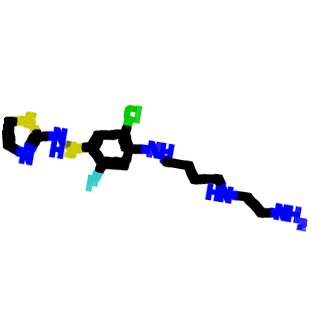 NCCNCCCCNc1cc(F)c(SNc2nccs2)cc1Cl